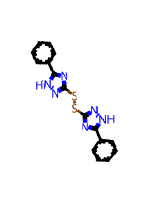 c1ccc(-c2nc(SSc3n[nH]c(-c4ccccc4)n3)n[nH]2)cc1